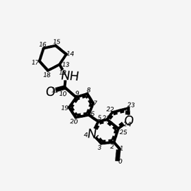 C=Cc1cnc(-c2ccc(C(=O)NC3CCCCC3)cc2)c2ccoc12